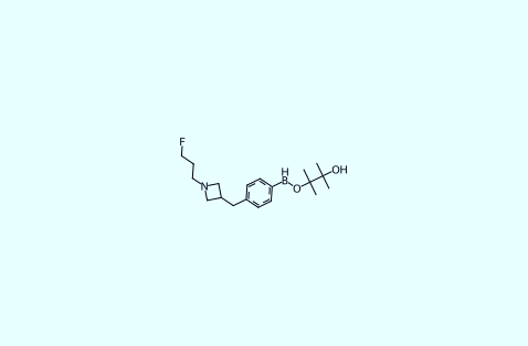 CC(C)(O)C(C)(C)OBc1ccc(CC2CN(CCCF)C2)cc1